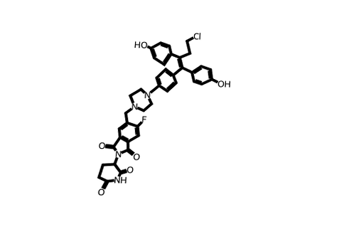 O=C1CCC(N2C(=O)c3cc(F)c(CN4CCN(c5ccc(C(=C(CCCl)c6ccc(O)cc6)c6ccc(O)cc6)cc5)CC4)cc3C2=O)C(=O)N1